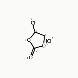 Cl.O=C1OCC(Cl)O1